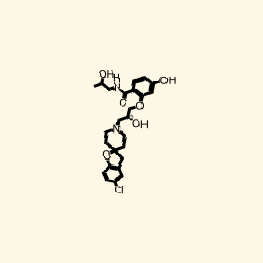 CC(O)CNC(=O)c1ccc(O)cc1OC[C@H](O)CN1CCC2(CC1)Cc1cc(Cl)ccc1O2